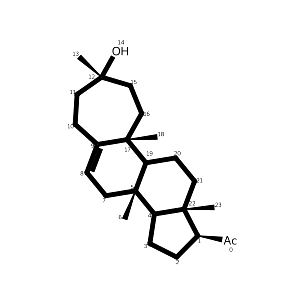 CC(=O)[C@H]1CCC2[C@]3(C)CC=C4CC[C@](C)(O)CC[C@]4(C)C3CC[C@@]21C